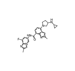 Cc1cn2cc(NC(=O)c3ccc(N4CCC(NC5CC5)C4)c4cn(C)nc34)cc(F)c2n1